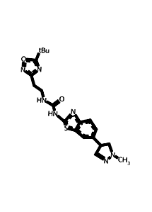 CN1CC(c2ccc3nc(NC(=O)NCCc4noc(C(C)(C)C)n4)sc3c2)C=N1